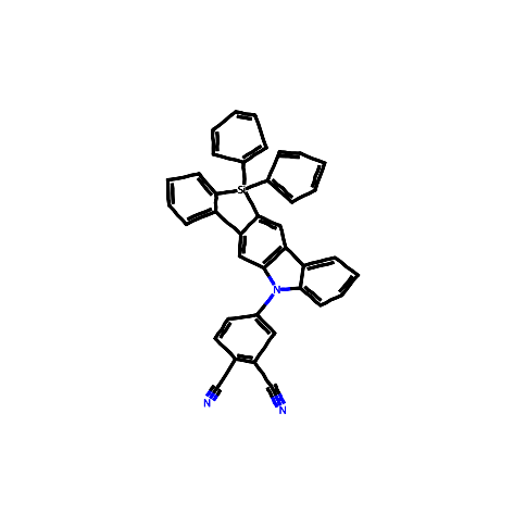 N#Cc1ccc(-n2c3ccccc3c3cc4c(cc32)-c2ccccc2[Si]4(c2ccccc2)c2ccccc2)cc1C#N